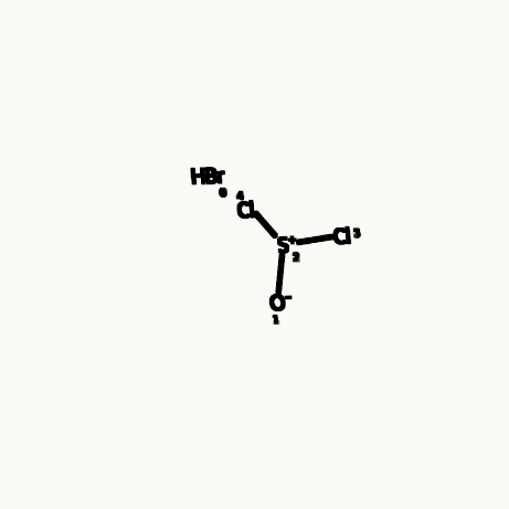 Br.[O-][S+](Cl)Cl